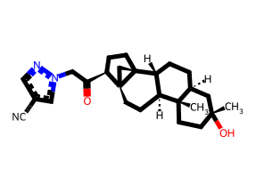 C[C@@]1(O)CC[C@@]2(C)[C@@H](CC[C@@H]3[C@@H]2CC[C@@]24C[C@@]32CC[C@@H]4C(=O)Cn2cc(C#N)cn2)C1